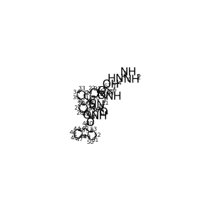 N=C(N)NCCC[C@H](NC(=O)CNC(=O)[C@H](CSC(c1ccccc1)(c1ccccc1)c1ccccc1)NC(=O)OCC1c2ccccc2-c2ccccc21)C(=O)O